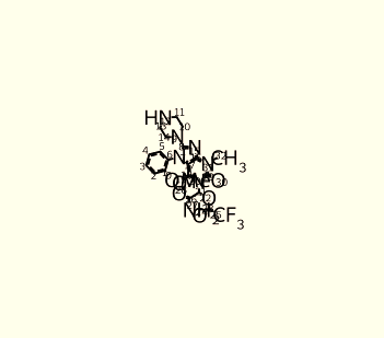 COc1ccccc1-n1c(N2CCNCC2)nc2c1c(=O)n(C(OC(=O)C(F)(F)F)C(N)=O)c(=O)n2C